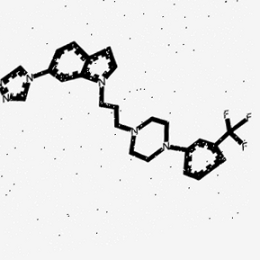 FC(F)(F)c1cccc(N2CCN(CCCn3ccc4ccc(-n5cnnc5)cc43)CC2)c1